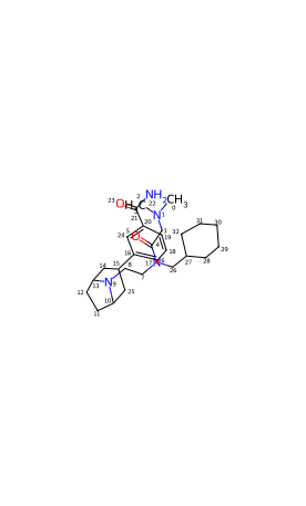 CN(C)CC(=O)N(CCN1C2CCC1CC(c1cccc(C(N)=O)c1)C2)CC1CCCCC1